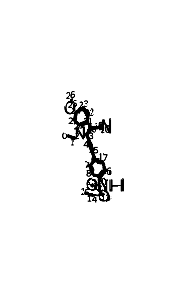 CCn1c(C#Cc2ccc(NS(=O)(=O)CC)cc2)c(C#N)c2ccc(OC)cc21